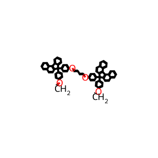 C=COc1ccc(C2(c3ccc(O/C=C/C=C/Oc4ccc(C5(c6ccc(OC=C)cc6)c6ccc7ccccc7c6-c6c5ccc5ccccc65)cc4)cc3)c3ccccc3-c3c2ccc2ccccc32)cc1